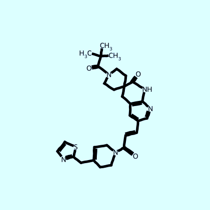 CC(C)(C)C(=O)N1CCC2(CC1)Cc1cc(C=CC(=O)N3CC=C(Cc4nccs4)CC3)cnc1NC2=O